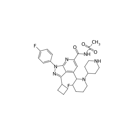 CS(=O)(=O)NC(=O)c1cc(C2C(F)CCCN2C2CCNCC2)c2c(C3CCC3)nn(-c3ccc(F)cc3)c2n1